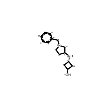 O[C@H]1C[C@@H](NC2CCN(Cc3ccccc3)C2)C1